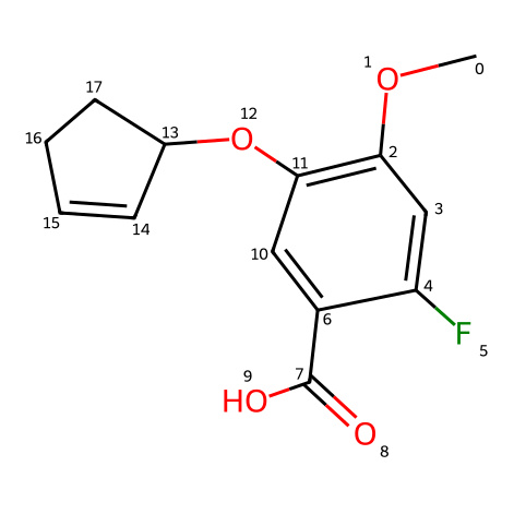 COc1cc(F)c(C(=O)O)cc1OC1C=CCC1